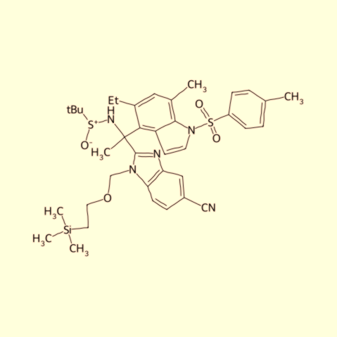 CCc1cc(C)c2c(ccn2S(=O)(=O)c2ccc(C)cc2)c1C(C)(N[S+]([O-])C(C)(C)C)c1nc2cc(C#N)ccc2n1COCC[Si](C)(C)C